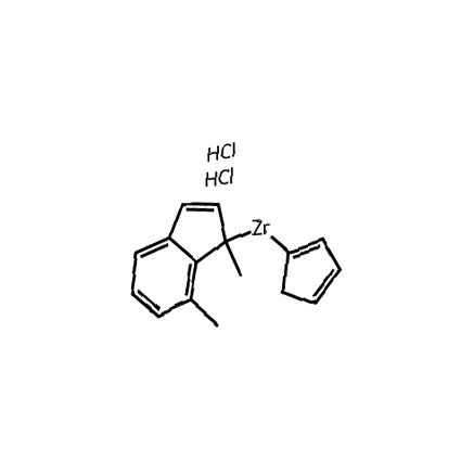 Cc1cccc2c1[C](C)([Zr][C]1=CC=CC1)C=C2.Cl.Cl